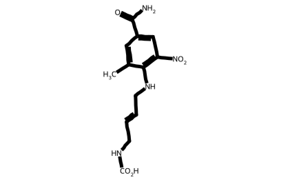 Cc1cc(C(N)=O)cc([N+](=O)[O-])c1NCC=CCNC(=O)O